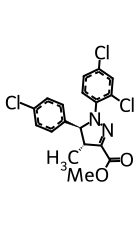 COC(=O)C1=NN(c2ccc(Cl)cc2Cl)[C@H](c2ccc(Cl)cc2)[C@H]1C